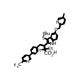 CCC(CC)(C(=O)O)C(Cc1ccc(-c2ccc(C(F)(F)F)nc2)cc1)c1[nH]c2ccc(OCc3ccc(C)cn3)cc2c1SC(C)(C)C